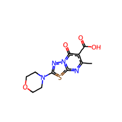 Cc1nc2sc(N3CCOCC3)nn2c(=O)c1C(=O)O